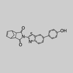 O=C1C2C3C=CC(C3)C2C(=O)N1c1nc2ccc(-c3ccc(O)cc3)cc2s1